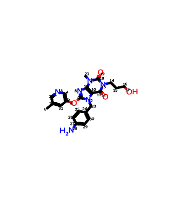 Cc1cncc(Oc2nc3c(c(=O)n(CCCO)c(=O)n3C)n2Cc2ccc(N)cc2)c1